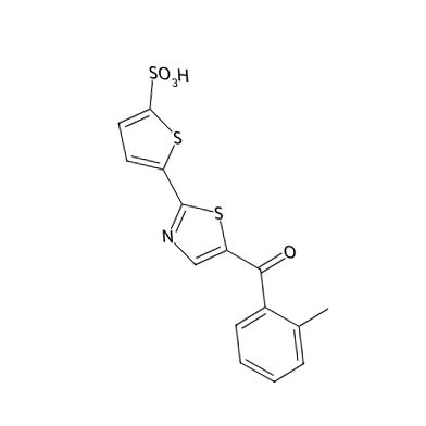 Cc1ccccc1C(=O)c1cnc(-c2ccc(S(=O)(=O)O)s2)s1